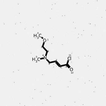 COCCN(C)C/C=C/C(=O)Cl